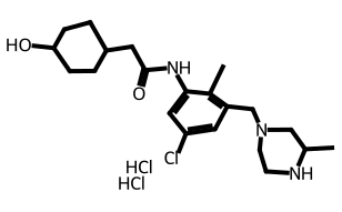 Cc1c(CN2CCNC(C)C2)cc(Cl)cc1NC(=O)CC1CCC(O)CC1.Cl.Cl